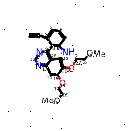 C#Cc1cccc(N)c1-c1ncnc2cc(OCCOC)c(OCCOC)cc12